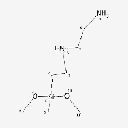 CO[Si](C)(CCNCCN)OC